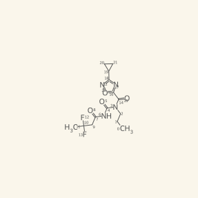 CCCN(C(=O)NC(=O)CC(C)(F)F)C(=O)c1nc(C2CC2)no1